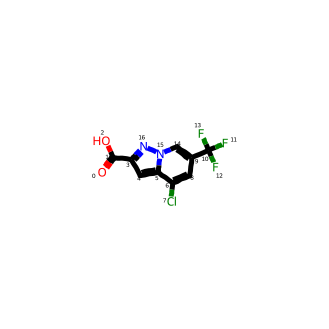 O=C(O)c1cc2c(Cl)cc(C(F)(F)F)cn2n1